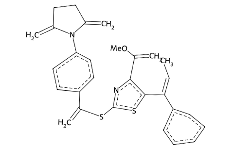 C=C(Sc1nc(C(=C)OC)c(/C(=C\C)c2ccccc2)s1)c1ccc(N2C(=C)CCC2=C)cc1